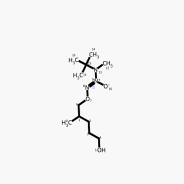 CC(CCCO)CO/N=[N+](\[O-])N(C)C(C)(C)C